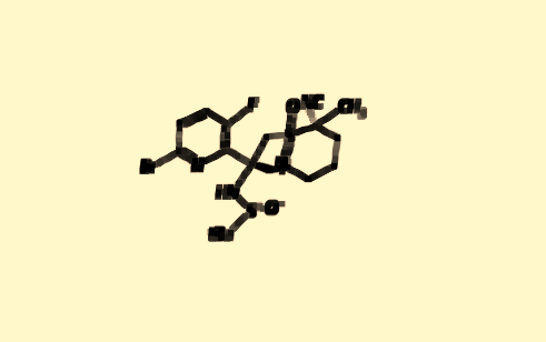 CC(C)(C)[S+]([O-])N[C@@](CF)(CS1(=O)=NCCC[C@@]1(C)C#N)c1nc(Br)ccc1F